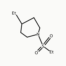 CCC1CCN(S(=O)(=O)CC)CC1